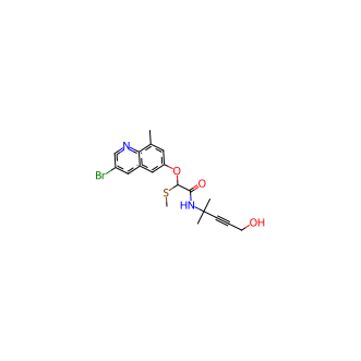 CSC(Oc1cc(C)c2ncc(Br)cc2c1)C(=O)NC(C)(C)C#CCO